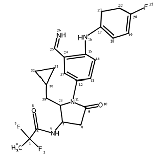 CC(F)(F)C(=O)NC1CC(=O)N(c2ccc(NC3=CC=C(F)CC3)c(C=N)c2)C1CC1CC1